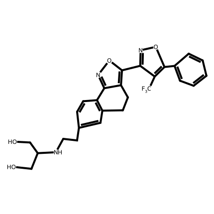 OCC(CO)NCCc1ccc2c(c1)CCc1c-2noc1-c1noc(-c2ccccc2)c1C(F)(F)F